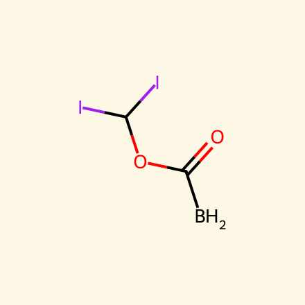 BC(=O)OC(I)I